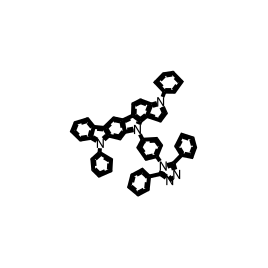 c1ccc(-c2nnc(-c3ccccc3)n2-c2ccc(-n3c4cc5c(cc4c4ccc6c(ccn6-c6ccccc6)c43)c3ccccc3n5-c3ccccc3)cc2)cc1